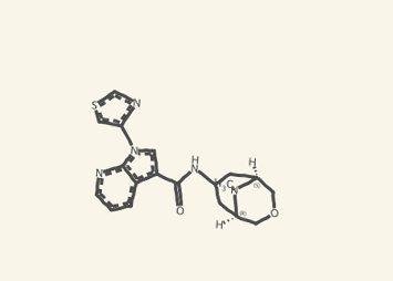 CN1[C@@H]2COC[C@H]1CC(NC(=O)c1cn(-c3cscn3)c3ncccc13)C2